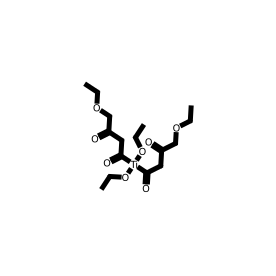 CCOCC(=O)C[C](=O)[Ti]([O]CC)([O]CC)[C](=O)CC(=O)COCC